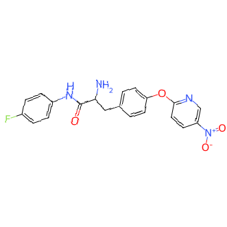 NC(Cc1ccc(Oc2ccc([N+](=O)[O-])cn2)cc1)C(=O)Nc1ccc(F)cc1